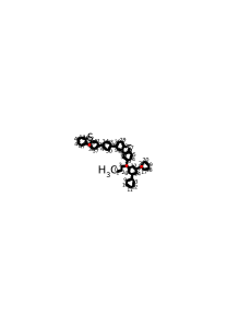 C/C=C\C=C(c1cc(-c2ccccc2)cc(C2C=CC=CC2)c1)c1ccc2sc3ccc(-c4ccc(-c5ccc6c(c5)sc5ccccc56)cc4)cc3c2c1